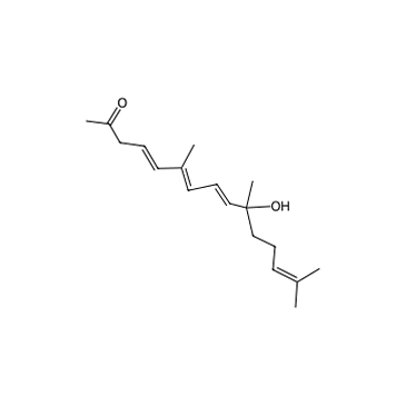 CC(=O)C/C=C/C(C)=C/C=C/C(C)(O)CCC=C(C)C